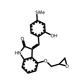 CSc1ccc(/C=C2\C(=O)Nc3cccc(OCC4CO4)c32)c(O)c1